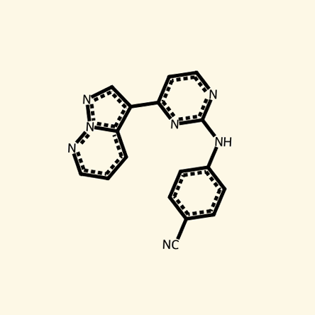 N#Cc1ccc(Nc2nccc(-c3cnn4ncccc34)n2)cc1